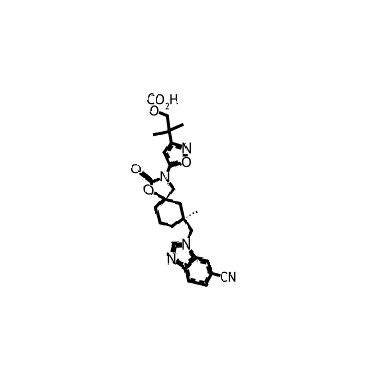 CC(C)(COC(=O)O)c1cc(N2C[C@@]3(CCC[C@](C)(Cn4cnc5ccc(C#N)cc54)C3)OC2=O)on1